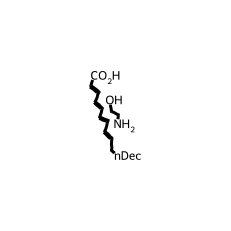 CCCCCCCCCCCC=CC=CC=CC=CC(=O)O.NCCO